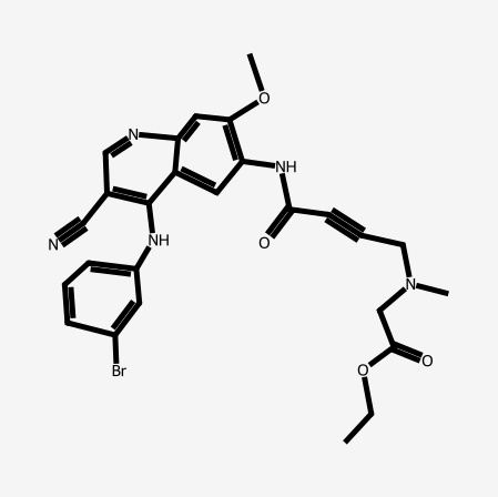 CCOC(=O)CN(C)CC#CC(=O)Nc1cc2c(Nc3cccc(Br)c3)c(C#N)cnc2cc1OC